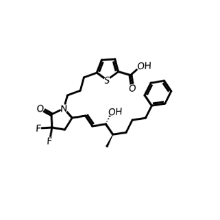 C[C@H](CCCc1ccccc1)[C@@H](O)/C=C/C1CC(F)(F)C(=O)N1CCCc1ccc(C(=O)O)s1